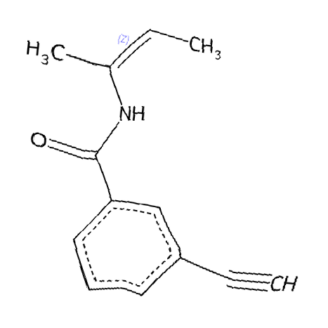 C#Cc1cccc(C(=O)N/C(C)=C\C)c1